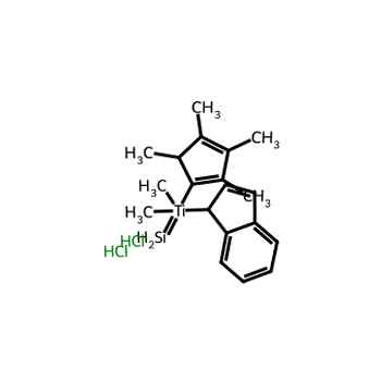 CC1=C(C)C(C)[C]([Ti]([CH3])([CH3])(=[SiH2])[CH]2C=Cc3ccccc32)=C1C.Cl.Cl